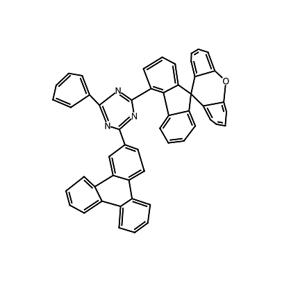 c1ccc(-c2nc(-c3ccc4c5ccccc5c5ccccc5c4c3)nc(-c3cccc4c3-c3ccccc3C43c4ccccc4Oc4ccccc43)n2)cc1